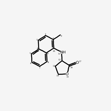 Cc1ccc2ccccc2c1NC1CCOC1=O